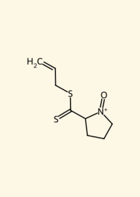 C=CCSC(=S)C1CCC[N+]1=O